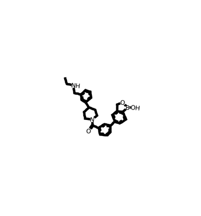 CCNCc1cccc(C2CCN(C(=O)c3cccc(-c4ccc5c(c4)COB5O)c3)CC2)c1